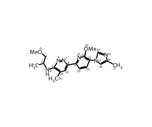 COCC(C)Nc1nnc(-c2ccc(-n3cnc(C)c3)c(OC)n2)cc1C